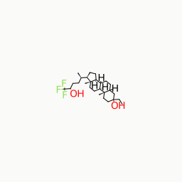 CC[C@]1(O)CC[C@@]2(C)[C@H](CC[C@@H]3[C@@H]2CC[C@]2(C)[C@@H]([C@H](C)CCC(O)C(F)(F)F)CC[C@@H]32)C1